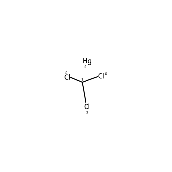 ClC(Cl)Cl.[Hg]